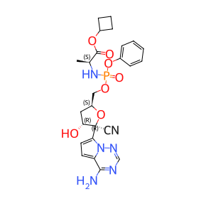 C[C@H](NP(=O)(OC[C@@H]1C[C@@H](O)[C@](C#N)(c2ccc3c(N)ncnn23)O1)Oc1ccccc1)C(=O)OC1CCC1